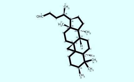 C[C@H](CCC=O)[C@H]1CC[C@@]2(C)[C@@H]3CC[C@H]4C(C)(C)[C@@H](C)CCC45C[C@@]35CC[C@]12C